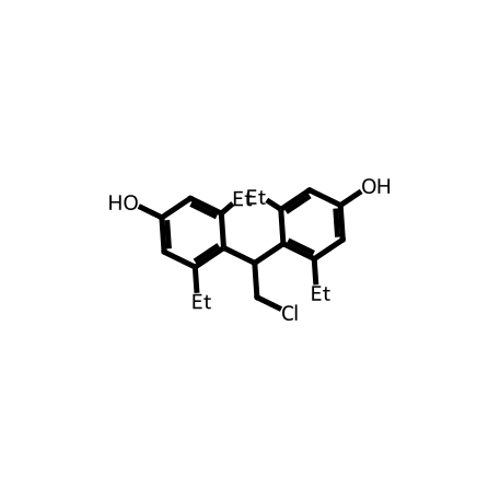 CCc1cc(O)cc(CC)c1C(CCl)c1c(CC)cc(O)cc1CC